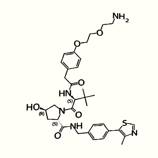 Cc1ncsc1-c1ccc(CNC(=O)[C@@H]2C[C@@H](O)CN2C(=O)[C@@H](NC(=O)Cc2ccc(OCCOCCN)cc2)C(C)(C)C)cc1